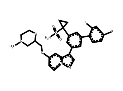 CN1CCOC(COc2ccn3ncc(-c4cc(-c5ccc(F)cc5F)cc(C5(S(N)(=O)=O)CC5)c4)c3c2)C1